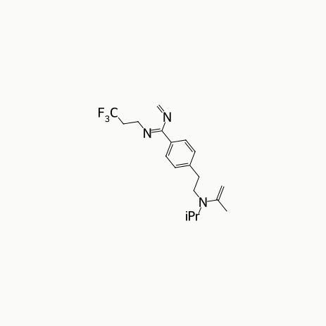 C=N/C(=N\CCC(F)(F)F)c1ccc(CCN(C(=C)C)C(C)C)cc1